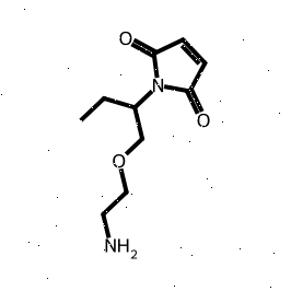 CCC(COCCN)N1C(=O)C=CC1=O